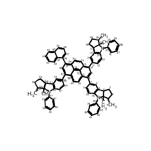 CC1CCC2c3cc(-c4cc(-c5ccc6c(c5)C5CCC(C)C5(C)N6c5ccccc5)c5ccc6c(-c7cccc8ccccc78)cc(-c7ccc8c(c7)C7CCC(C)C7(C)N8c7ccccc7)c7ccc4c5c76)ccc3N(c3ccccc3)C12C